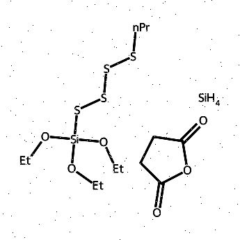 CCCSSSS[Si](OCC)(OCC)OCC.O=C1CCC(=O)O1.[SiH4]